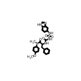 COc1ccc(N(C)C(=O)C(Cc2ccccc2)NC(=O)NS(=O)(=O)Nc2ccc3[nH]cnc3c2)cc1